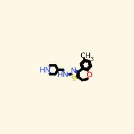 Cc1ccc2c(c1)-c1nc(NCC3CCNCC3)sc1CCO2